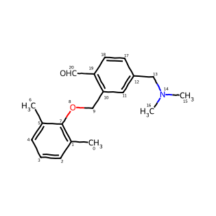 Cc1cccc(C)c1OCc1cc(CN(C)C)ccc1C=O